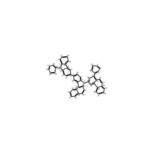 c1ccc(-c2nc(-n3c4ccc(-c5ccc6c(c5)c5ccccc5n6-c5ccccc5)cc4c4c5ccccc5ccc43)nc3c2ccc2ccccc23)cc1